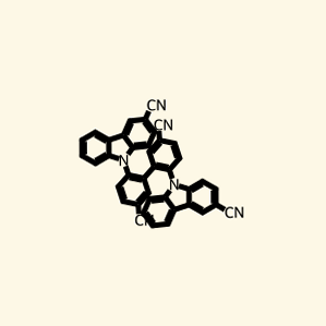 N#Cc1ccc(-n2c3ccccc3c3cc(C#N)ccc32)c(-c2cc(C#N)ccc2-n2c3ccccc3c3cc(C#N)ccc32)c1